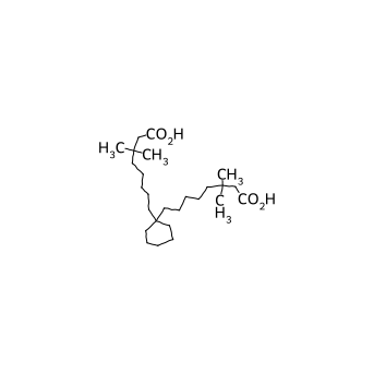 CC(C)(CCCCCC1(CCCCCC(C)(C)CC(=O)O)CCCCC1)CC(=O)O